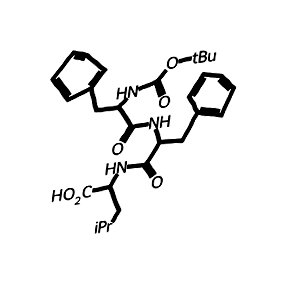 CC(C)CC(NC(=O)C(Cc1ccccc1)NC(=O)C(Cc1ccccc1)NC(=O)OC(C)(C)C)C(=O)O